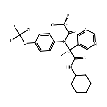 C[C@@](C(=O)NC1CCCCC1)(c1cncnc1)N(C(=O)[C@H](F)Cl)c1ccc(OC(F)(F)Cl)cc1